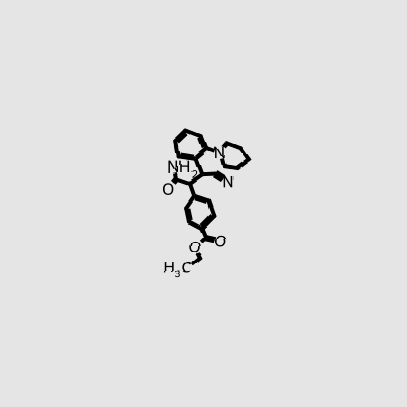 CCOC(=O)c1ccc(C(C(N)=O)C(C#N)c2ccccc2N2CCCCC2)cc1